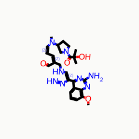 COc1cccc2c(/C(=C/NC/C(C=O)=C/C=C\N(C)C3CCN(C(=O)C(C)(C)O)C3)N=N)nc(N)nc12